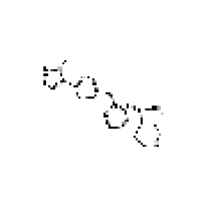 Cn1nccc1-c1ccc(Sc2cccc(C3(C(N)=O)CCOCC3)c2)cc1